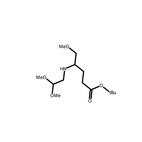 COCC(CCC(=O)OC(C)(C)C)NCC(OC)OC